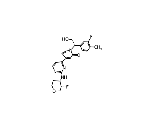 Cc1ccc([C@@H](CO)n2ccc(-c3ccnc(N[C@H]4CCOC[C@H]4F)n3)cc2=O)cc1F